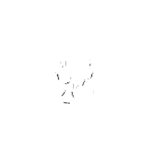 C=C/C=C\C=C(/C)n1c(C)c(/C=C(/C)CC)c2ccccc21